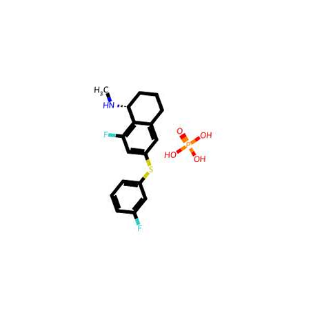 CN[C@@H]1CCCc2cc(Sc3cccc(F)c3)cc(F)c21.O=P(O)(O)O